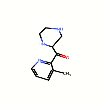 Cc1cccnc1C(=O)C1CNCCN1